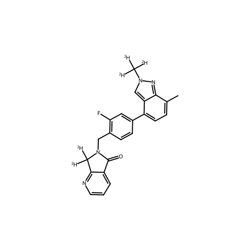 [2H]C1([2H])c2ncccc2C(=O)N1Cc1ccc(-c2ccc(C)c3nn(C([2H])([2H])[2H])cc23)cc1F